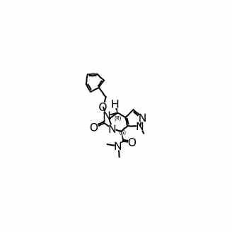 CN(C)C(=O)[C@@H]1c2c(cnn2C)[C@@H]2CN1C(=O)N2OCc1ccccc1